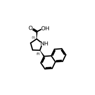 O=C(O)[C@@H]1CC[C@H](c2cccc3ccccc23)N1